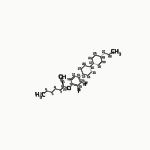 C#C[C@H](CCCCC)Oc1ccc([C@H]2CC[C@@H]([C@H]3CC[C@@H](CCC)CC3)CC2)c(F)c1F